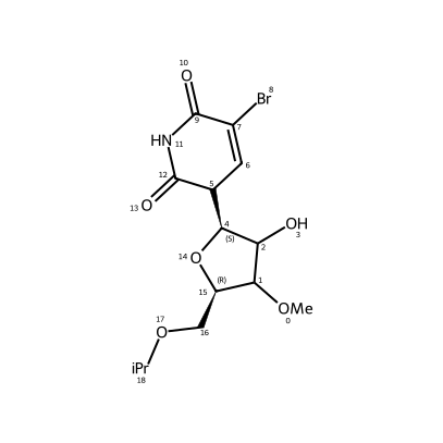 COC1C(O)[C@H](C2C=C(Br)C(=O)NC2=O)O[C@@H]1COC(C)C